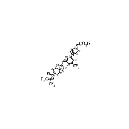 O=C(O)CN1CC2CC1CN2c1cc(CN2CCC3(CCN(C(=O)OC(C(F)(F)F)C(F)(F)F)CC3)C2)cc(C(F)(F)F)c1